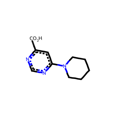 O=C(O)c1cc(N2CCCCC2)ncn1